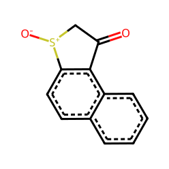 O=C1C[S+]([O-])c2ccc3ccccc3c21